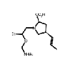 CC=C[C@@H]1C[C@H](C(=O)O)N(CC(CC)OCNC(C)=O)C1